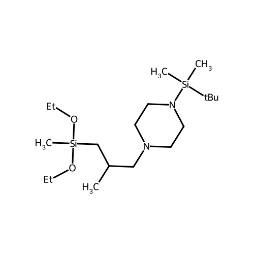 CCO[Si](C)(CC(C)CN1CCN([Si](C)(C)C(C)(C)C)CC1)OCC